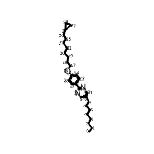 CCCCCCCCc1cnc(-c2ccc(OCCCCCCCCC3CC3)cc2)nc1